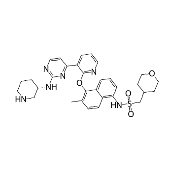 Cc1ccc2c(NS(=O)(=O)CC3CCOCC3)cccc2c1Oc1ncccc1-c1ccnc(N[C@H]2CCCNC2)n1